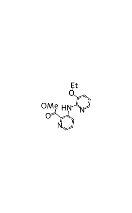 CCOc1cccnc1Nc1cccnc1C(=O)OC